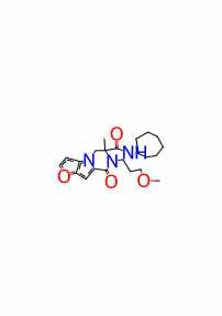 COCCCN1C(=O)c2cc3occc3n2CC1(C)C(=O)NC1CCCCCC1